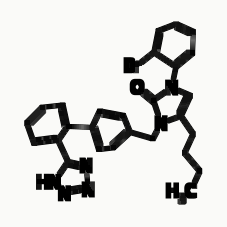 CCCCc1cn(-c2ccccc2Br)c(=O)n1Cc1ccc(-c2ccccc2-c2nnn[nH]2)cc1